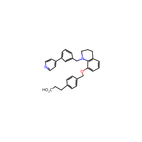 O=C(O)CCc1ccc(COc2cccc3c2N(Cc2cccc(-c4ccncc4)c2)CCC3)cc1